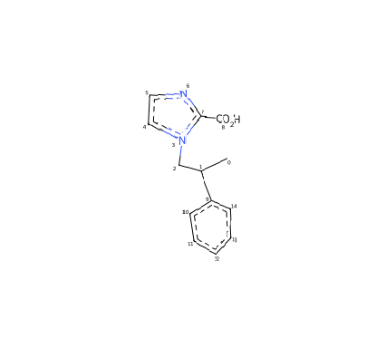 CC(Cn1ccnc1C(=O)O)c1ccccc1